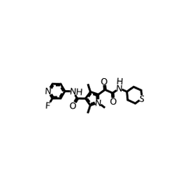 Cc1c(C(=O)Nc2ccnc(F)c2)c(C)n(C)c1C(=O)C(=O)NC1CCSCC1